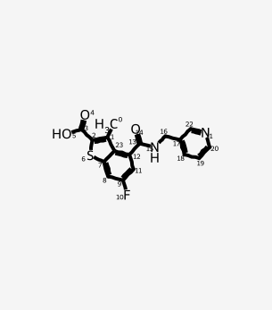 Cc1c(C(=O)O)sc2cc(F)cc(C(=O)NCc3cccnc3)c12